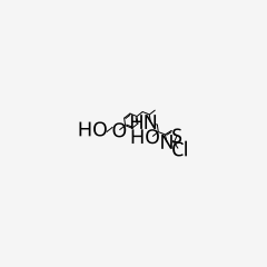 CC(Cc1ccc(OCCO)cc1)NCC(O)c1csc(Cl)n1